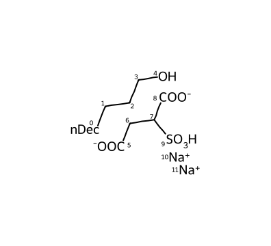 CCCCCCCCCCCCCO.O=C([O-])CC(C(=O)[O-])S(=O)(=O)O.[Na+].[Na+]